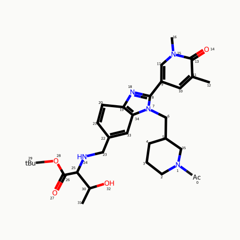 CC(=O)N1CCCC(Cn2c(-c3cc(C)c(=O)n(C)c3)nc3ccc(CNC(C(=O)OC(C)(C)C)C(C)O)cc32)C1